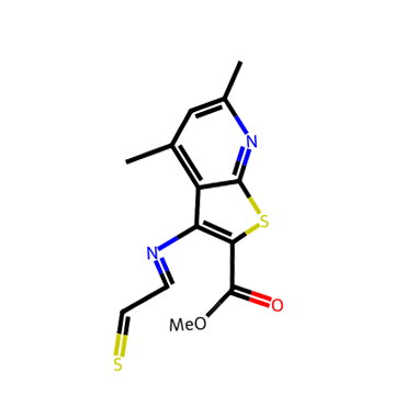 COC(=O)c1sc2nc(C)cc(C)c2c1N=CC=S